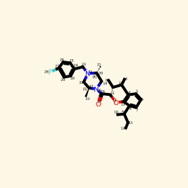 CCC(C)c1cccc(C(C)CC)c1OCC(=O)N1C[C@@H](C)N(Cc2ccc(F)cc2)C[C@@H]1C